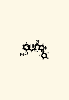 CCOc1ccccc1Cc1nc2c(cnn2C2CCCC2)c(=O)[nH]1